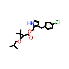 CC(C)COC1C(C(=O)OCc2[nH]ccc2Cc2ccc(Cl)cc2)C1(C)C